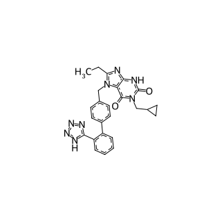 CCc1nc2[nH]c(=O)n(CC3CC3)c(=O)c2n1Cc1ccc(-c2ccccc2-c2nnn[nH]2)cc1